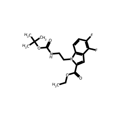 CCOC(=O)c1cc2c(F)c(F)ccc2n1CCNC(=O)OC(C)(C)C